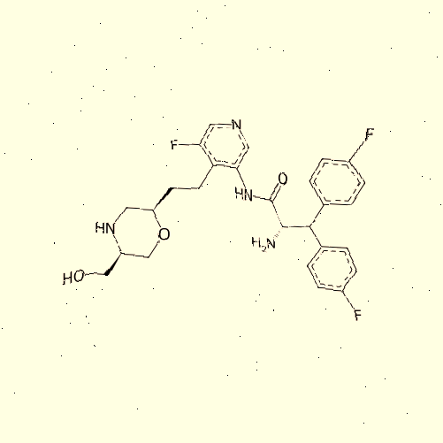 N[C@H](C(=O)Nc1cncc(F)c1CC[C@@H]1CN[C@H](CO)CO1)C(c1ccc(F)cc1)c1ccc(F)cc1